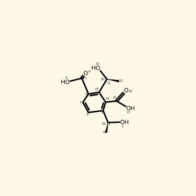 C[C@H](O)c1ccc(C(=O)O)c([C@H](C)O)c1C(=O)O